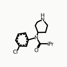 CC(C)C(=O)N(c1cccc(Cl)c1)C1CCNCC1